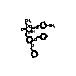 CCOC(=O)[C@H](Cc1ccc(OCc2ccccc2)c(OCc2ccccc2)c1)NC(=O)NCc1ccc(N)cc1